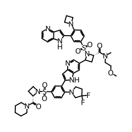 COCCN(C)C(=O)[C@@H]1CC(c2cnc3cc(-c4cc(S(=O)(=O)N5CC[C@H]5C(=O)N5CCCCC5)ccc4N4CCC(F)(F)C4)[nH]c3c2)N1S(=O)(=O)c1ccc(N2CCC2)c(-c2cc3ncccc3[nH]2)c1